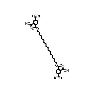 O=C(O)c1ccc(C(=O)OCCCCCCCCCCCCCCCCCCOC(=O)c2ccc(C(=O)O)cc2C(=O)O)c(C(=O)O)c1